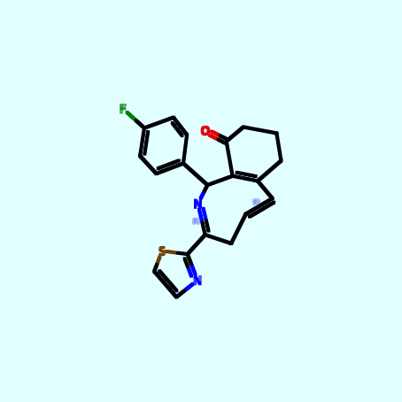 O=C1CCCC2=C1C(c1ccc(F)cc1)/N=C(/c1nccs1)C/C=C/2